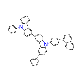 c1ccc(-c2ccc3c(c2)c2cc(-c4ccc5c(c4)c4ccccc4n5-c4ccccc4)ccc2n3-c2ccc(-c3cccc4ccccc34)cc2)cc1